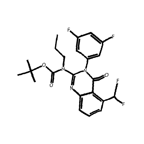 CCCN(C(=O)OC(C)(C)C)c1nc2cccc(C(F)F)c2c(=O)n1-c1cc(F)cc(F)c1